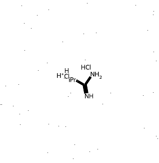 CC(C)C(=N)N.Cl.Cl.[H+]